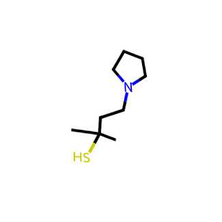 CC(C)(S)CCN1CCCC1